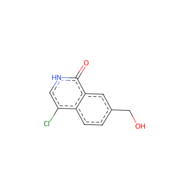 O=c1[nH]cc(Cl)c2ccc(CO)cc12